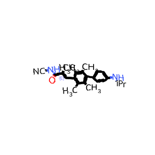 C/C(=C\c1c(C)c(C)c(-c2ccc(NC(C)C)cc2)c(C)c1C)C(=O)NC#N